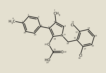 Cc1ccc(-c2c(C)cn(Cc3c(Cl)cccc3Cl)c2OC(=O)O)cc1